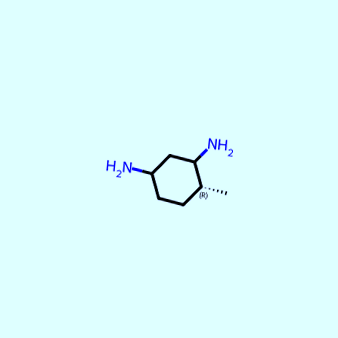 C[C@@H]1CCC(N)CC1N